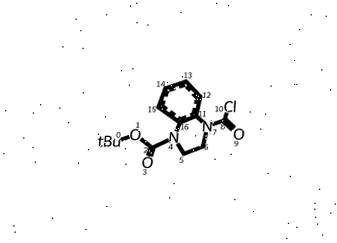 CC(C)(C)OC(=O)N1CCN(C(=O)Cl)c2ccccc21